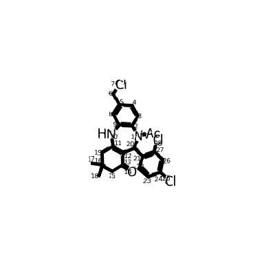 CC(=O)N1c2ccc(CCl)cc2NC2=C(C(=O)CC(C)(C)C2)C1c1ccc(Cl)cc1Cl